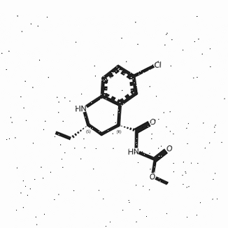 CC[C@H]1C[C@@H](C(=O)NC(=O)OC)c2cc(Cl)ccc2N1